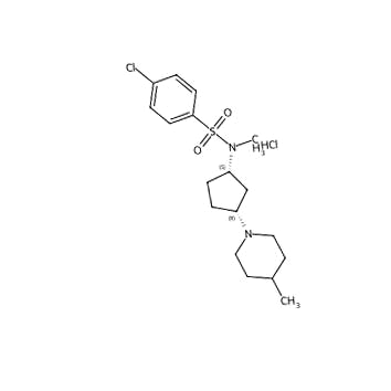 CC1CCN([C@@H]2CC[C@H](N(C)S(=O)(=O)c3ccc(Cl)cc3)C2)CC1.Cl